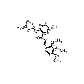 COc1ccc(/C=C/C(=O)c2cc(O)ccc2OCCN(C)C)c(OC)c1OC